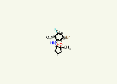 C[C@@]1(O)CCC[C@H]1Nc1cc(Br)cc(F)c1[N+](=O)[O-]